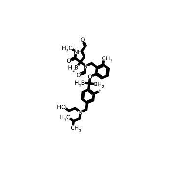 BC(B)(Oc1cccc(C)c1CN(C=O)C(B)(CCC=O)C(=O)NC)c1ccc(CN(CCO)CC(C)C)cc1F